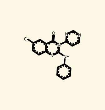 O=c1c2cc(Cl)ccc2nc(Nc2ccccc2)n1-c1ccncn1